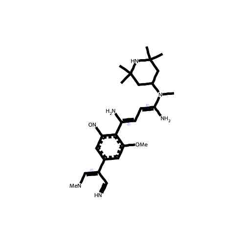 CN/C=C(\C=N)c1cc(N=O)c(/C(N)=C/C=C(\N)N(C)C2CC(C)(C)NC(C)(C)C2)c(OC)c1